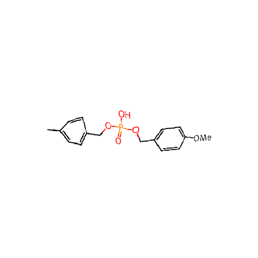 COc1ccc(COP(=O)(O)OCc2ccc(C)cc2)cc1